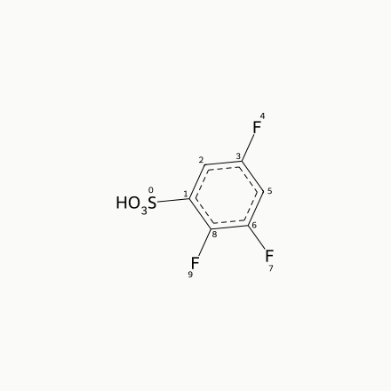 O=S(=O)(O)c1cc(F)cc(F)c1F